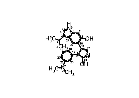 CC(C)c1n[nH]c2cc(O)c(-c3cnc(O)n3-c3cccc(N(C)C)c3)cc12